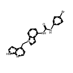 O=C(Nc1ccc(Br)cc1)Nc1cccc2c1ccn2Cc1ccnc2[nH]ccc12